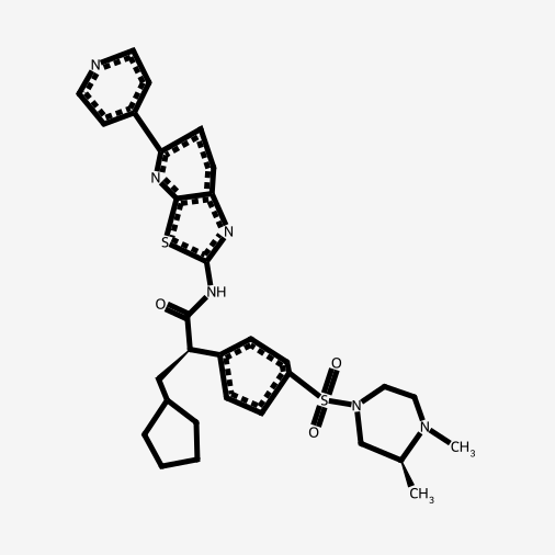 C[C@H]1CN(S(=O)(=O)c2ccc([C@@H](CC3CCCC3)C(=O)Nc3nc4ccc(-c5ccncc5)nc4s3)cc2)CCN1C